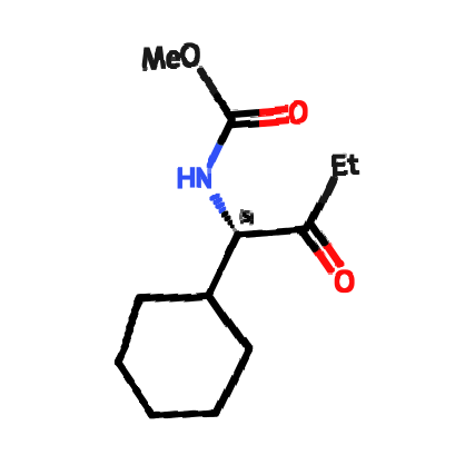 CCC(=O)[C@@H](NC(=O)OC)C1CCCCC1